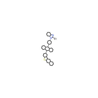 CCc1nc2ccccc2n1-c1ccc(-c2c3ccccc3c(-c3ccc4sc5cc6ccccc6cc5c4c3)c3ccccc23)cc1